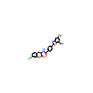 COC(=O)C(Cc1ccc(Cl)cc1)NC(=O)c1ccc(-c2nc3cc(C#N)cc(C(C)C)c3o2)cc1